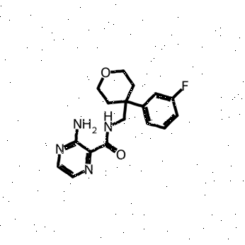 Nc1nccnc1C(=O)NCC1(c2cccc(F)c2)CCOCC1